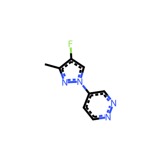 Cc1nn(-c2ccnnc2)cc1F